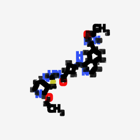 CCOc1nccc2nc(NC(=O)C3CC(Nc4nccc5ccc(-c6noc(C)n6)cc45)C3)sc12